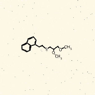 COCC(CSCCc1cccc2ccccc12)OC